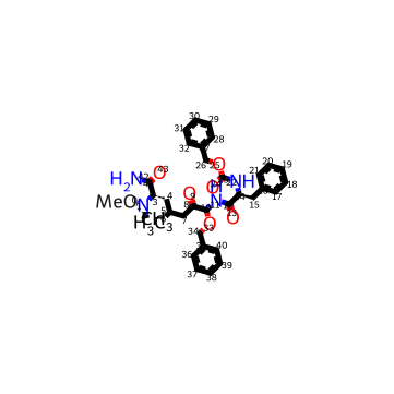 CON(C)[C@@H](CC(C)CC(=O)C(NC(=O)[C@H](Cc1ccccc1)NC(=O)OCc1ccccc1)OCc1ccccc1)C(N)=O